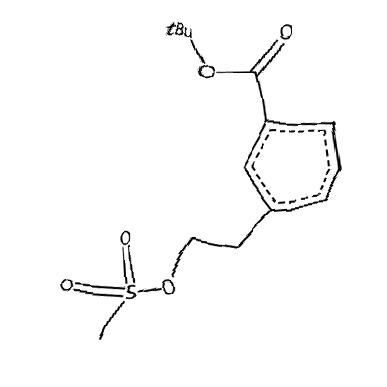 CC(C)(C)OC(=O)c1cccc(CCOS(C)(=O)=O)c1